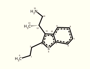 CCCc1sc2ccccc2c1[C@H](C)CN